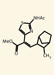 COC(=O)C(=CC1C2CCC(C2)C1C)c1csc(NC(C)=O)n1